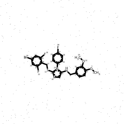 COc1ccc(CNc2cnc(SCc3c(F)cc(Br)cc3F)n2-c2ccc(F)cc2)cc1OC